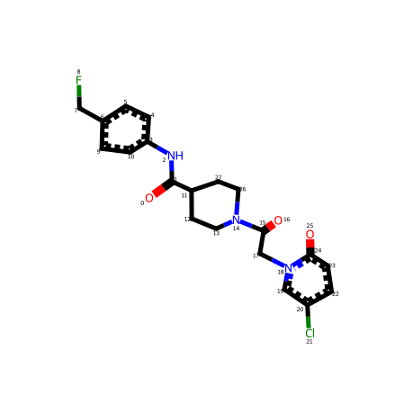 O=C(Nc1ccc(CF)cc1)C1CCN(C(=O)Cn2cc(Cl)ccc2=O)CC1